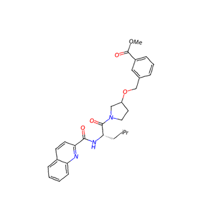 COC(=O)c1cccc(COC2CCN(C(=O)[C@H](CC(C)C)NC(=O)c3ccc4ccccc4n3)C2)c1